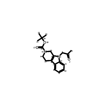 CC(=O)Cn1c2c(c3ccccc31)CCN(C(=O)OC(C)(C)C)C2